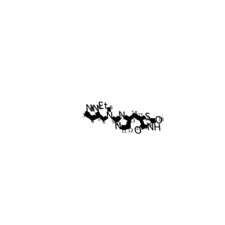 CCn1nccc1CN(C)c1nccc(C=C2SC(=O)NC2=O)n1